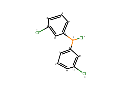 Clc1cccc(P(Cl)c2cccc(Cl)c2)c1